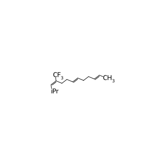 CC=CCCC=CCCC(=CC(C)C)C(F)(F)F